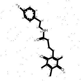 CC1=C(C)C(=O)C(CCCC(=O)NCCc2ccc(F)cc2)=C(C)C1=O